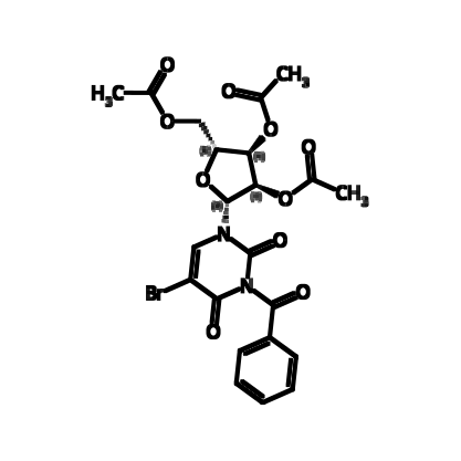 CC(=O)OC[C@H]1O[C@@H](n2cc(Br)c(=O)n(C(=O)c3ccccc3)c2=O)[C@H](OC(C)=O)[C@@H]1OC(C)=O